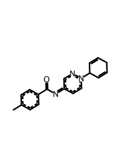 Cc1ccc(C(=O)N=c2ccn(C3C=CCC=C3)nc2)cc1